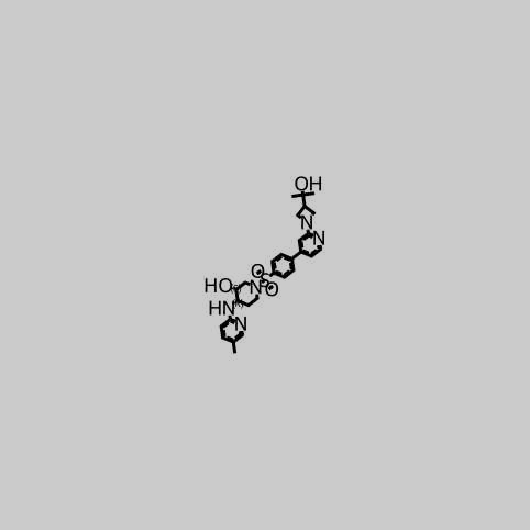 Cc1ccc(N[C@@H]2CCN(S(=O)(=O)c3ccc(-c4ccnc(N5CC(C(C)(C)O)C5)c4)cc3)C[C@@H]2O)nc1